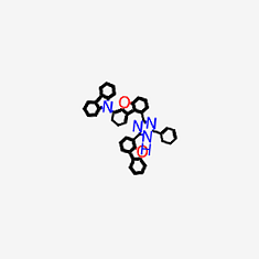 C1=CCCC(C2N=C(c3cccc4oc5c(c34)=CCCC=5n3c4ccccc4c4ccccc43)N=C(c3cccc4c3oc3ccccc34)N2)=C1